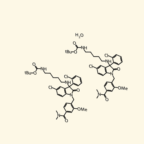 COc1cc(C(=O)N(C)C)ccc1CN1C(=O)C(NCCCCCNC(=O)OC(C)(C)C)(c2ccccc2Cl)c2cc(Cl)ccc21.COc1cc(C(=O)N(C)C)ccc1CN1C(=O)C(NCCCCCNC(=O)OC(C)(C)C)(c2ccccc2Cl)c2cc(Cl)ccc21.O